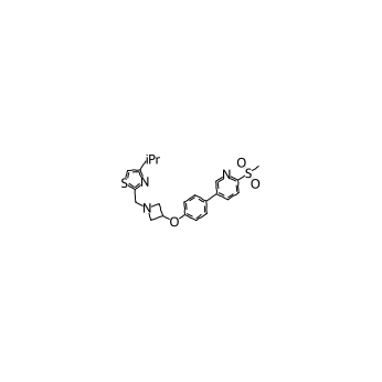 CC(C)c1csc(CN2CC(Oc3ccc(-c4ccc(S(C)(=O)=O)nc4)cc3)C2)n1